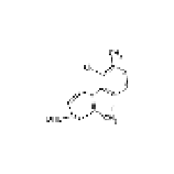 Cc1cc(C=O)ccc1-c1c(F)ccc(C)c1Cl